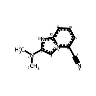 CN(C)c1cn2c(C#N)cccc2n1